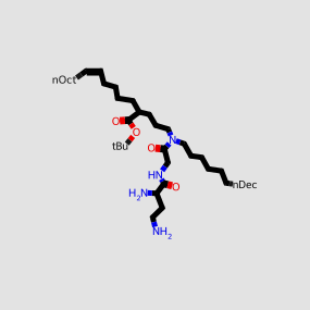 CCCCCCCC/C=C\CCCCC(CCCN(CCCCCCCCCCCCCCCC)C(=O)CNC(=O)C(N)CCN)C(=O)OC(C)(C)C